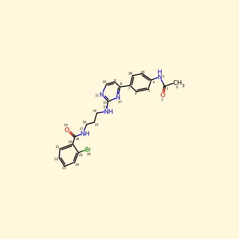 CC(=O)Nc1ccc(-c2ccnc(NCCCNC(=O)c3ccccc3Br)n2)cc1